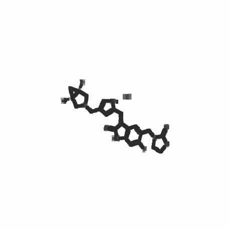 Cl.O=C1Nc2cc(F)c(CN3CCOC3=O)cc2/C1=C/c1cc(CN2C[C@H]3C[C@H]3C2)c[nH]1